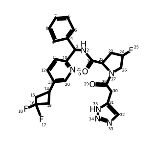 O=C(NC(c1ccccc1)c1ccc(C2CC(F)(F)C2)cn1)C1CC(F)CN1C(=O)Cc1cnn[nH]1